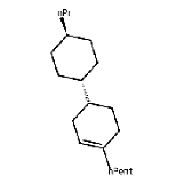 CCCCCC1=CCC([C@H]2CC[C@H](CCC)CC2)CC1